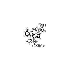 COC(=O)N[C@H]1CCC[C@@H]1C(CN1CCC1)(c1cccc(F)c1)C1CCN(CC2(OC)CNC2)CC1